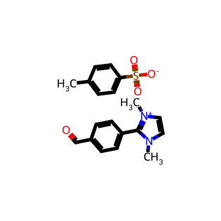 Cc1ccc(S(=O)(=O)[O-])cc1.Cn1cc[n+](C)c1-c1ccc(C=O)cc1